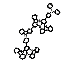 c1ccc(N(c2ccccc2)c2ccc(-c3cc4c5c(c3)-n3c6ccccc6c6cc(-c7ccc8c(c7)c7ccccc7n8-c7ccc(-c8cc9c%10c(c8)-n8c%11ccccc%11c%11cccc(c%118)B%10c8cccc%10c%11ccccc%11n-9c8%10)cc7)cc(c63)B5c3cccc5c6ccccc6n-4c35)cc2)cc1